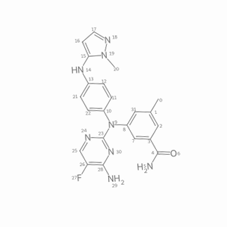 Cc1cc(C(N)=O)cc(N(c2ccc(Nc3ccnn3C)cc2)c2ncc(F)c(N)n2)c1